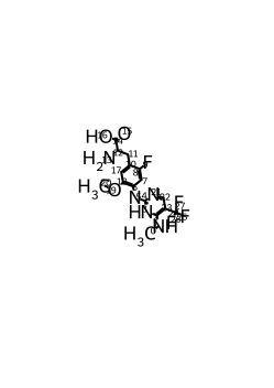 CNc1nc(Nc2cc(F)c(C[C@H](N)C(=O)O)cc2OC)ncc1C(F)(F)F